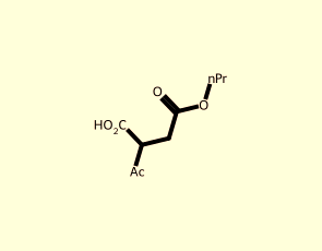 CCCOC(=O)CC(C(C)=O)C(=O)O